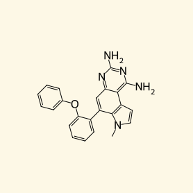 Cn1ccc2c3c(N)nc(N)nc3cc(-c3ccccc3Oc3ccccc3)c21